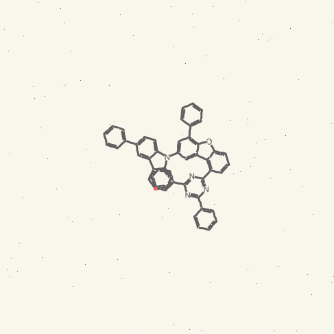 c1ccc(-c2ccc3c(c2)c2ccccc2n3-c2cc(-c3ccccc3)c3oc4cccc(-c5nc(-c6ccccc6)nc(-c6ccccc6)n5)c4c3c2)cc1